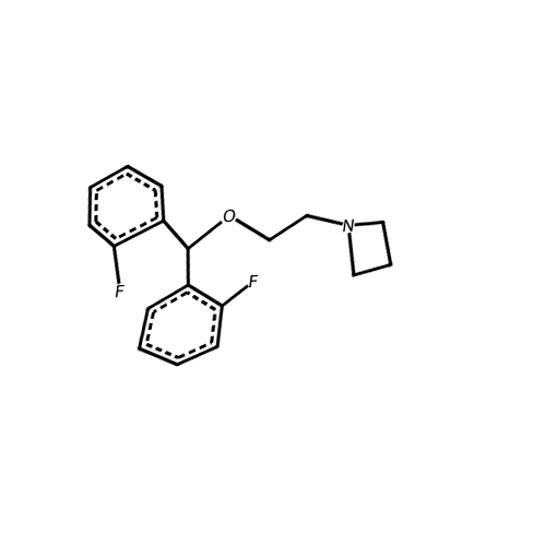 Fc1ccccc1C(OCCN1CCC1)c1ccccc1F